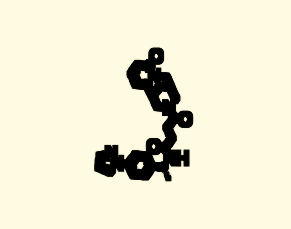 C[C@@H](NC(=O)CCC(=O)N1CC2CC(C1)c1cccc(=O)n1C2)c1ccc(-n2cccn2)cc1